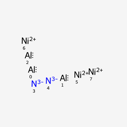 [Al].[Al].[Al].[N-3].[N-3].[Ni+2].[Ni+2].[Ni+2]